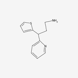 NCCC(c1ccccn1)c1cccs1